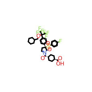 O=C(O)[C@H]1CC[C@H](C(=O)N2CC[C@](c3ccc(C(OCC4CCCCC4)(C(F)(F)F)C(F)(F)F)cc3)(S(=O)(=O)c3ccc(F)cc3)C2)CC1